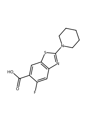 O=C(O)c1cc2sc(N3CCCCC3)nc2cc1F